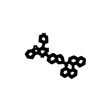 c1ccc2c3c(ccc2c1)N(c1ccc2cc(-c4nc(-c5ccncc5)c5oc6ccccc6c5n4)ccc2c1)c1cccc2cccc-3c12